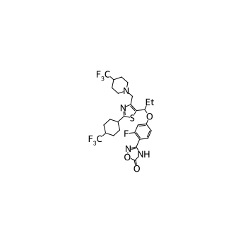 CCC(Oc1ccc(-c2noc(=O)[nH]2)c(F)c1)c1sc(C2CCC(C(F)(F)F)CC2)nc1CN1CCC(C(F)(F)F)CC1